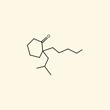 CCCCCC1(CC(C)C)CCCCC1=O